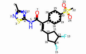 Cc1nsc(NC(=O)/C(=C/C2CC(F)C(F)C2)c2ccc(S(C)(=O)=O)cc2)n1